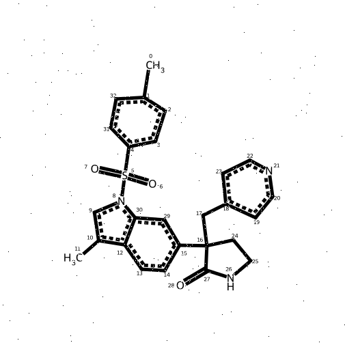 Cc1ccc(S(=O)(=O)n2cc(C)c3ccc(C4(Cc5ccncc5)CCNC4=O)cc32)cc1